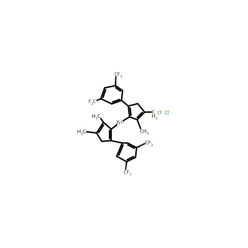 CC1=C(C)[C]([Zr+2][C]2=C(c3cc(C(F)(F)F)cc(C(F)(F)F)c3)CC(C)=C2C)=C(c2cc(C(F)(F)F)cc(C(F)(F)F)c2)C1.[Cl-].[Cl-]